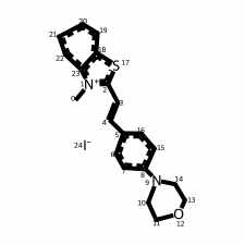 C[n+]1c(C=Cc2ccc(N3CCOCC3)cc2)sc2ccccc21.[I-]